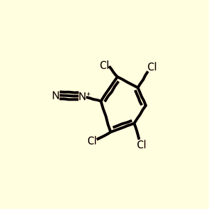 N#[N+]c1c(Cl)c(Cl)cc(Cl)c1Cl